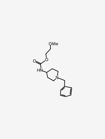 COCCOC(=O)NC1CCN(Cc2ccccc2)CC1